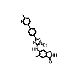 CCn1nc(-c2ccc(-c3ccc(C)nc3)cc2)nc1Nc1cc2c(cc1C)C(=O)NC2